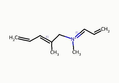 C=C/C=C(\C)C/[N+](C)=C/C=C